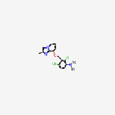 CCN(C(C)=O)c1ccc(Cl)c(COc2cccn3cc(C)nc23)c1Cl